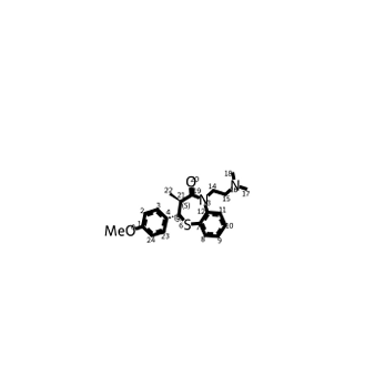 COc1ccc([C@H]2Sc3ccccc3N(CCN(C)C)C(=O)[C@@H]2C)cc1